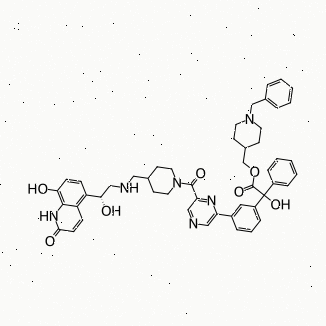 O=C(c1cncc(-c2cccc(C(O)(C(=O)OCC3CCN(Cc4ccccc4)CC3)c3ccccc3)c2)n1)N1CCC(CNC[C@H](O)c2ccc(O)c3[nH]c(=O)ccc23)CC1